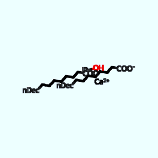 CC(C)O.CCCCCCCCCCCCCCCCCC(=O)[O-].CCCCCCCCCCCCCCCCCC(=O)[O-].[Ca+2]